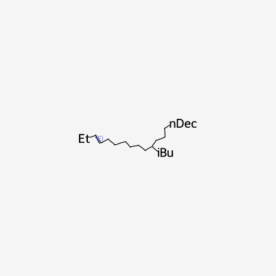 [CH2]C/C=C/CCCCCCC(CCCCCCCCCCCC[CH2])C(C)CC